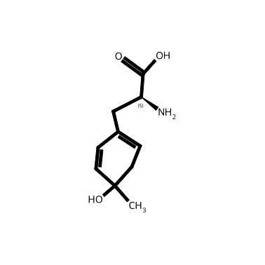 CC1(O)C=CC(C[C@H](N)C(=O)O)=CC1